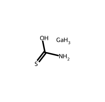 NC(O)=S.[GaH3]